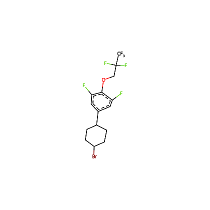 Fc1cc(C2CCC(Br)CC2)cc(F)c1OCC(F)(F)C(F)(F)F